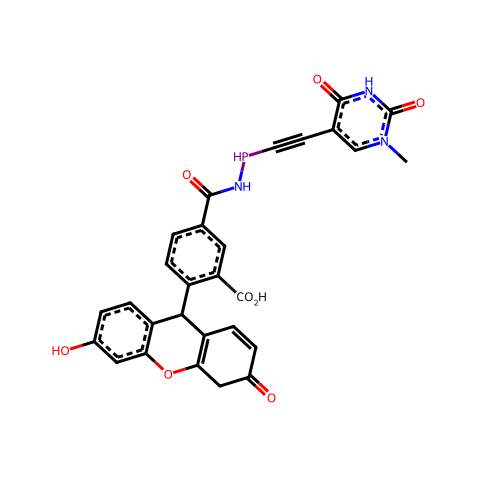 Cn1cc(C#CPNC(=O)c2ccc(C3C4=C(CC(=O)C=C4)Oc4cc(O)ccc43)c(C(=O)O)c2)c(=O)[nH]c1=O